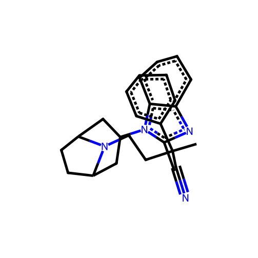 Cc1nc2ccccc2n1C1CC2CCC(C1)N2CCC(C)(C#N)c1ccccc1